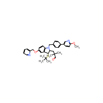 COc1ccc(-c2ccc(CN3c4ccc(OCc5ccccn5)cc4C(SC(C)(C)C)C3CC(C)(C)C=O)cc2)cn1